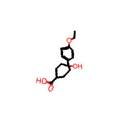 CCOc1ccc(C2(O)CCC(C(=O)O)CC2)cc1